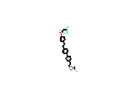 CCCC1CCC(c2ccc(CCc3ccc(OC(F)(F)C=C(F)F)cc3)cc2)CC1